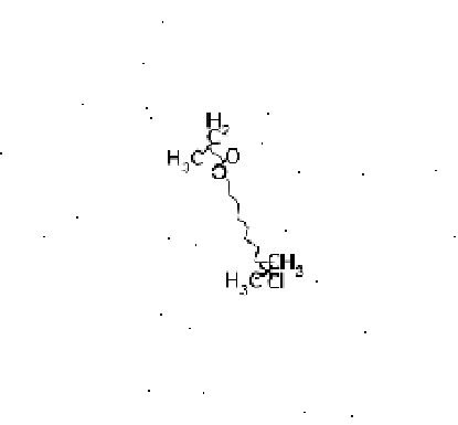 C=C(C)C(=O)OCCCCCCCC[Si](C)(C)Cl